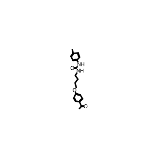 CC(=O)c1ccc(OCCCCNC(=O)Nc2ccc(C)cc2)cc1